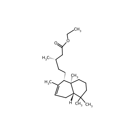 CCOC(=O)C[C@@H](C)CC[C@H]1C(C)=CC[C@H]2C(C)(C)CCC[C@]12C